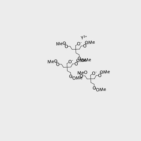 COOCCC(C[O-])(CCOOC)CCOOC.COOCCC(C[O-])(CCOOC)CCOOC.COOCCC(C[O-])(CCOOC)CCOOC.[Y+3]